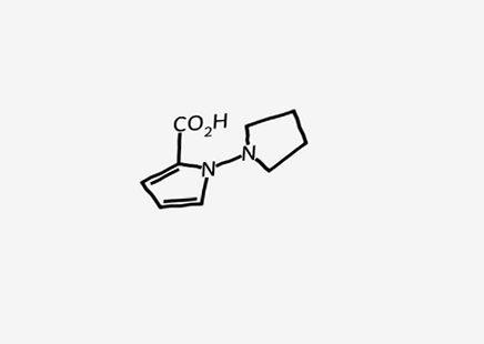 O=C(O)c1cccn1N1CCCC1